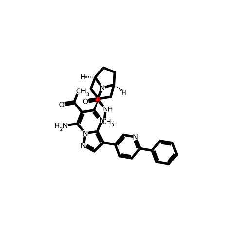 CNC(=O)N1[C@@H]2CC[C@H]1C[C@@H](c1nc3c(-c4ccc(-c5ccccc5)nc4)cnn3c(N)c1C(C)=O)C2